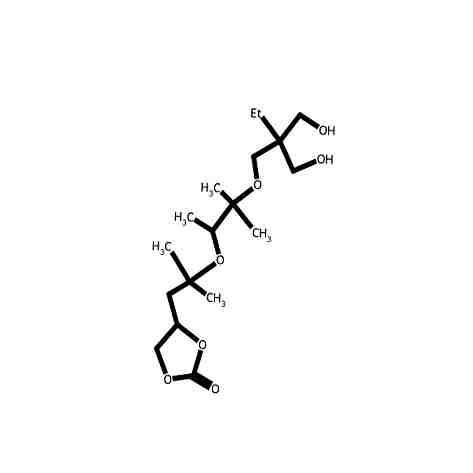 CCC(CO)(CO)COC(C)(C)C(C)OC(C)(C)CC1COC(=O)O1